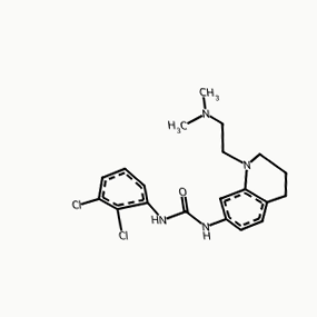 CN(C)CCN1CCCc2ccc(NC(=O)Nc3cccc(Cl)c3Cl)cc21